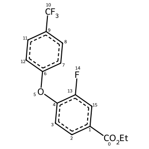 CCOC(=O)c1ccc(Oc2ccc(C(F)(F)F)cc2)c(F)c1